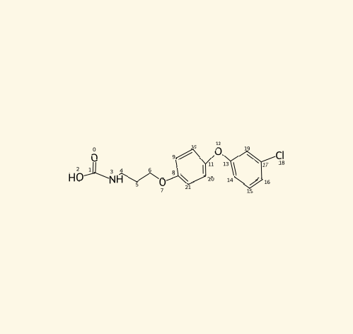 O=C(O)NCCCOc1ccc(Oc2cccc(Cl)c2)cc1